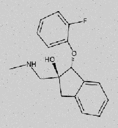 CNC[C@@]1(O)Cc2ccccc2[C@H]1Oc1ccccc1F